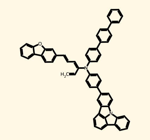 C=C/C(=C\C=C\c1ccc2c(c1)oc1ccccc12)N(c1ccc(-c2ccc(-c3ccccc3)cc2)cc1)c1ccc(-c2ccc3c(c2)c2cccc4c5ccccc5n3c42)cc1